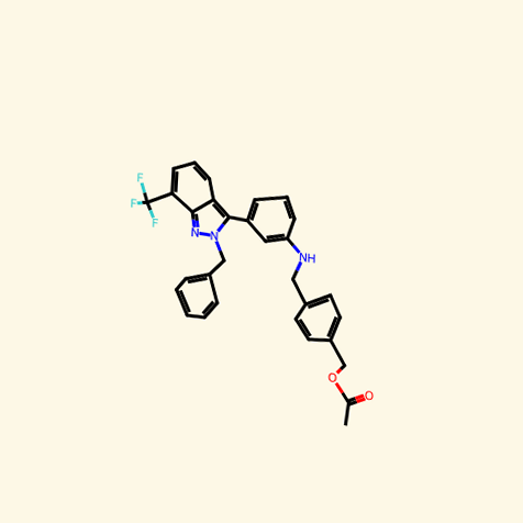 CC(=O)OCc1ccc(CNc2cccc(-c3c4cccc(C(F)(F)F)c4nn3Cc3ccccc3)c2)cc1